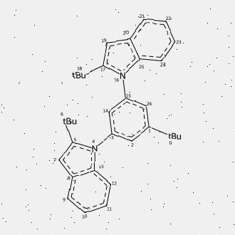 CC(C)(C)c1cc(-n2c(C(C)(C)C)cc3ccccc32)cc(-n2c(C(C)(C)C)cc3ccccc32)c1